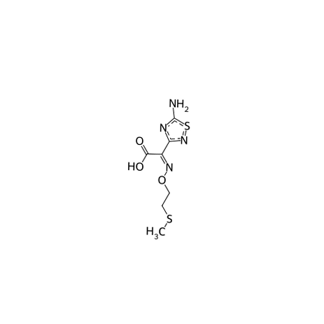 CSCCON=C(C(=O)O)c1nsc(N)n1